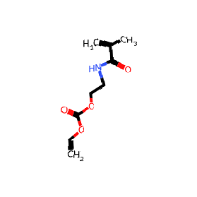 C=COC(=O)OCCNC(=O)C(=C)C